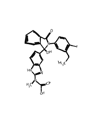 CCc1cc(N2C(=O)c3ccccc3C2(O)c2ccc3[nH]c(N(C)C(=O)O)nc3c2)ccc1F